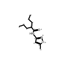 CCCC(CCC)C(=O)Nc1cc(C)on1